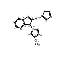 C1=CC[C]([Zr+2][C]2=Cc3ccccc3C2p2cccc2)=C1.[Cl-].[Cl-]